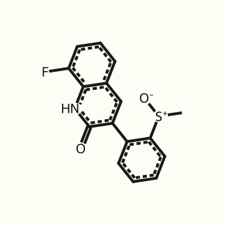 C[S+]([O-])c1ccccc1-c1cc2cccc(F)c2[nH]c1=O